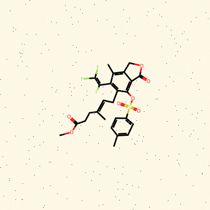 COC(=O)CC/C(C)=C/Cc1c(OS(=O)(=O)c2ccc(C)cc2)c2c(c(C)c1C(F)=C(F)F)COC2=O